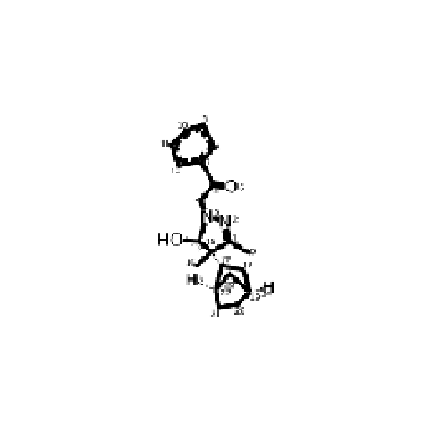 CC1=NN(CC(=O)c2ccccc2)C(O)C1(C)[C@@H]1C[C@H]2CC[C@@H]1C2